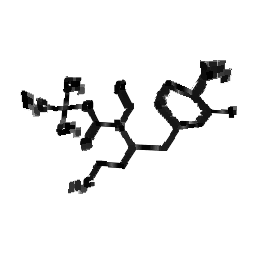 CCCC(Cc1ccc(N)c(F)c1)N(C=O)C(=O)OC(C)(C)C